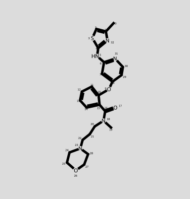 Cc1csc(Nc2cc(Oc3ccccc3C(=O)N(C)CCCN3CCOCC3)ccn2)n1